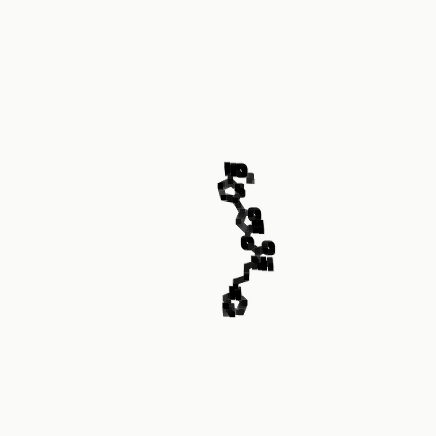 O=C(NCCCn1ccnc1)Oc1cc(-c2ccc([N+](=O)[O-])s2)on1